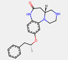 C[C@H](Cc1ccccc1)Oc1ccc2c(c1)N1CCNC[C@H]1CC(=O)N2